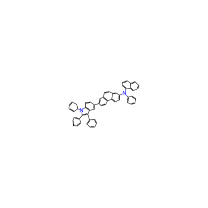 C1=CCC(n2c(-c3ccccc3)c(-c3ccccc3)c3cc(-c4ccc5c(ccc6cc(N(c7ccccc7)c7cccc8ccccc78)ccc65)c4)ccc32)C=C1